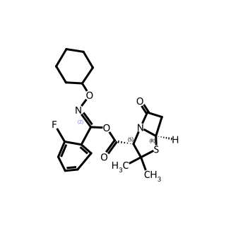 CC1(C)S[C@@H]2CC(=O)N2[C@H]1C(=O)O/C(=N\OC1CCCCC1)c1ccccc1F